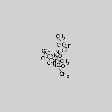 [C-]#[N+]c1ccc(N[C@@H](c2nnc(-c3ccc(F)c(OC(=O)CCC)c3)o2)[C@@H](C)OC(=O)CCC)c(C)c1Cl